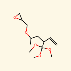 C=CC(CC(C)OCC1CO1)[Si](OC)(OC)OC